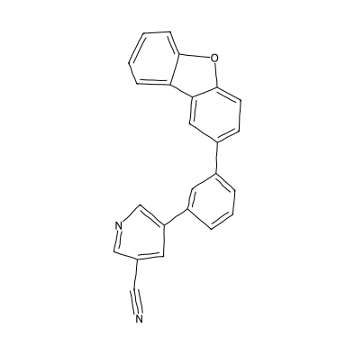 N#Cc1cncc(-c2cccc(-c3ccc4oc5ccccc5c4c3)c2)c1